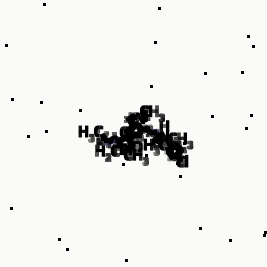 C=C/C(=C\C=C(\F)CC)c1oc2c(c1C(=O)NC)=CC(C/C=C/C(=O)NC(C)(C)c1ccc(Cl)cc1)C1C=2C=CN1SC